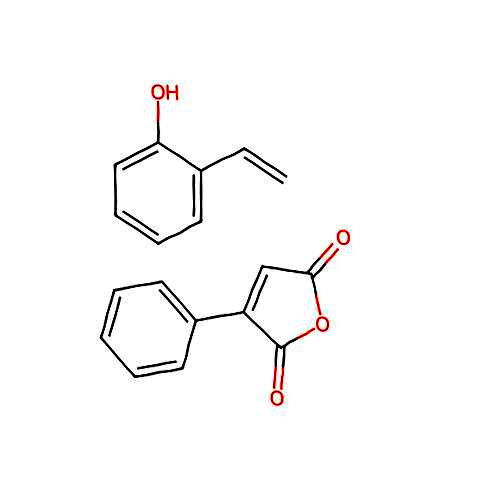 C=Cc1ccccc1O.O=C1C=C(c2ccccc2)C(=O)O1